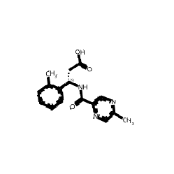 Cc1cnc(C(=O)N[C@@H](CC(=O)O)c2ccccc2C)cn1